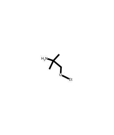 [CH2]COCC(C)(C)N